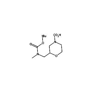 CN(CC1CN(C(=O)O)CCO1)C(=O)OC(C)(C)C